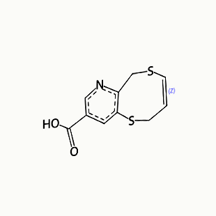 O=C(O)c1cnc2c(c1)SC/C=C\SC2